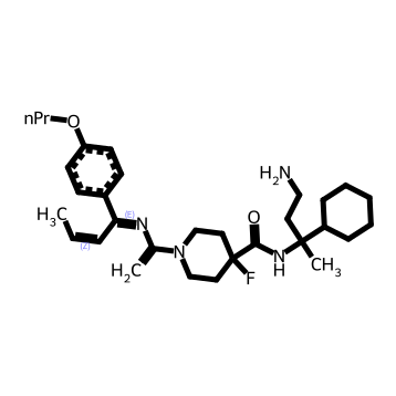 C=C(/N=C(\C=C/C)c1ccc(OCCC)cc1)N1CCC(F)(C(=O)NC(C)(CCN)C2CCCCC2)CC1